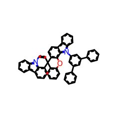 c1ccc(-c2cc(-c3ccccc3)cc(-n3c4ccccc4c4ccc5c(c43)Oc3ccccc3C53c4ccccc4-n4c5ccccc5c5cccc3c54)c2)cc1